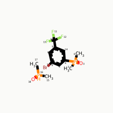 CP(C)(=O)c1cc(Br)cc(C(F)(F)F)c1.C[PH](C)=O